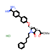 COC(=O)C[C@@H]1C[C@@H](COc2ccc(-c3ccc(C(=N)N)cc3)cc2)N(CCCCc2ccccc2)C1=O.Cl